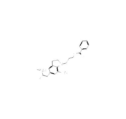 C[C@H](Cc1cc(C#N)c2c(c1)CCN2CCCOC(=O)c1ccccc1)NI